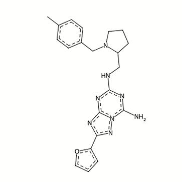 Cc1ccc(CN2CCCC2CNc2nc(N)n3nc(-c4ccco4)nc3n2)cc1